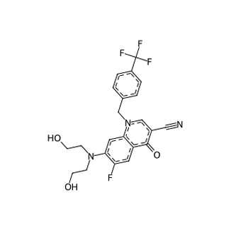 N#Cc1cn(Cc2ccc(C(F)(F)F)cc2)c2cc(N(CCO)CCO)c(F)cc2c1=O